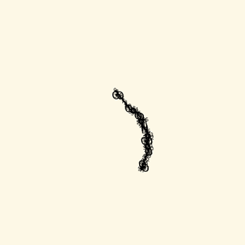 C=CC(=O)OCCCCCCOc1ccc(COOc2ccc(/C=N/N=C/c3ccc(OC(=O)c4ccc(OCCCCCCOC(=O)C=C)cc4)cc3)cc2C)cc1